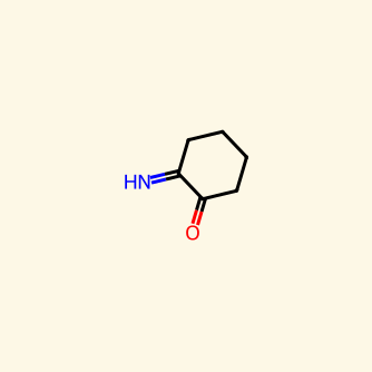 N=C1CCCCC1=O